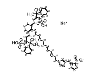 CC1(C)C(=CC=C2CCCC(C=CC3=[N+](S(=O)(=O)O)c4ccccc4C3(C)C)=C2SCCOCCOCCOCCn2cc(Cn3ccnc3[N+](=O)[O-])nn2)N(S(=O)(=O)O)c2ccccc21.[Na+]